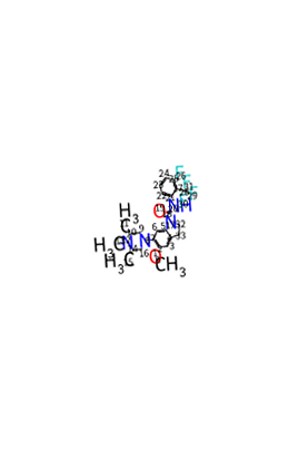 COc1cc2c(cc1N1C[C@@H](C)N(C)[C@@H](C)C1)N(C(=O)Nc1cccc(F)c1C(F)(F)F)CC2